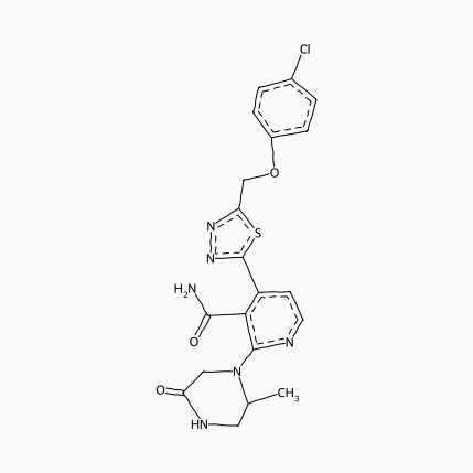 CC1CNC(=O)CN1c1nccc(-c2nnc(COc3ccc(Cl)cc3)s2)c1C(N)=O